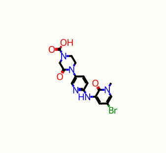 Cn1cc(Br)cc(Nc2ccc(N3CCN(C(=O)O)CC3=O)cn2)c1=O